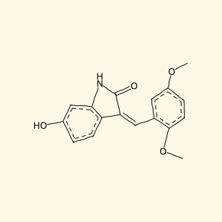 COc1ccc(OC)c(C=C2C(=O)Nc3cc(O)ccc32)c1